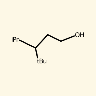 CC(C)C(CCO)C(C)(C)C